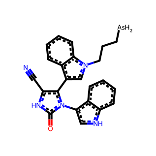 N#Cc1[nH]c(=O)n(-c2c[nH]c3ccccc23)c1-c1cn(CCC[AsH2])c2ccccc12